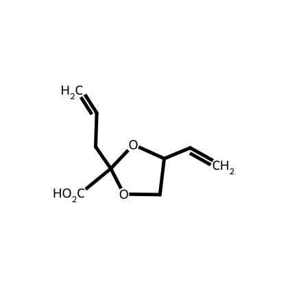 C=CCC1(C(=O)O)OCC(C=C)O1